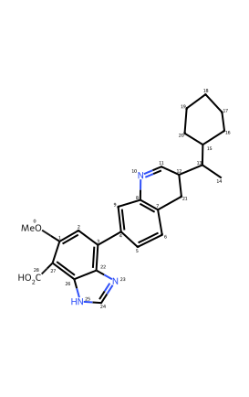 COc1cc(-c2ccc3c(c2)N=CC(C(C)C2CCCCC2)C3)c2nc[nH]c2c1C(=O)O